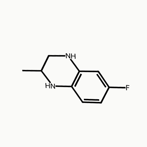 CC1CNc2cc(F)ccc2N1